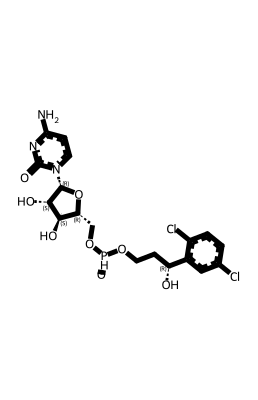 Nc1ccn([C@@H]2O[C@H](CO[PH](=O)OCC[C@@H](O)c3cc(Cl)ccc3Cl)[C@@H](O)[C@@H]2O)c(=O)n1